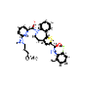 COCCCN(C)c1cccc(C(=O)N2CCc3cc(C(=O)Nc4c(C)cccc4F)sc3-c3ccccc32)n1